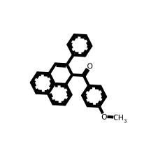 COc1ccc(C(=O)C2C(c3ccccc3)=Cc3cccc4cccc2c34)cc1